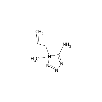 C=CC[N+]1(C)N=NN=C1N